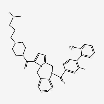 Cc1cc(C(=O)N2Cc3ccc(C(=O)N4CCN(CCCN(C)C)CC4)n3Cc3ccccc32)ccc1-c1ccccc1C(F)(F)F